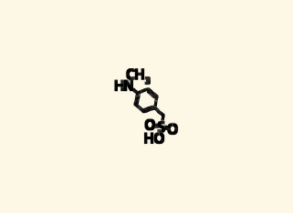 CNc1ccc(CS(=O)(=O)O)cc1